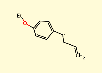 C=CC[CH]c1ccc(OCC)cc1